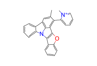 Cc1cc2c3ccccc3n3c4c5ccccc5oc4c(c1-c1cccc[n+]1C)c23